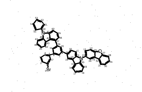 Brc1cccc(-c2cc(-c3ccc4c(c3)c3ccccc3n4-c3ccc4oc5ccccc5c4c3)cc(-c3cccc4c3c3ccccc3n4-c3ccccc3)c2)c1